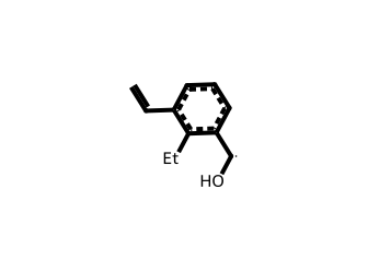 C=Cc1cccc([CH]O)c1CC